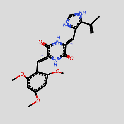 C=C(C)c1[nH]cnc1/C=c1\[nH]c(=O)/c(=C/c2c(OC)cc(OC)cc2OC)[nH]c1=O